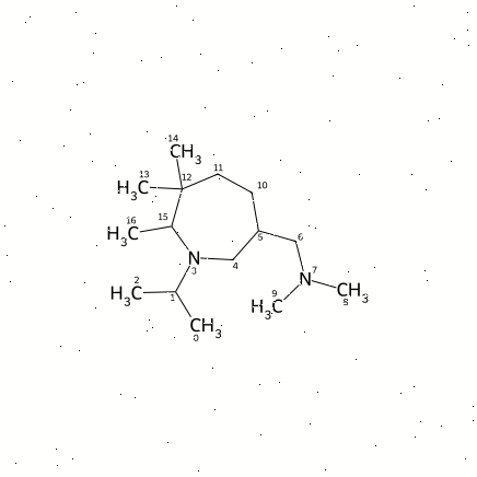 CC(C)N1CC(CN(C)C)CCC(C)(C)C1C